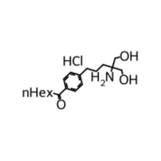 CCCCCCC(=O)c1ccc(CCCC(N)(CO)CO)cc1.Cl